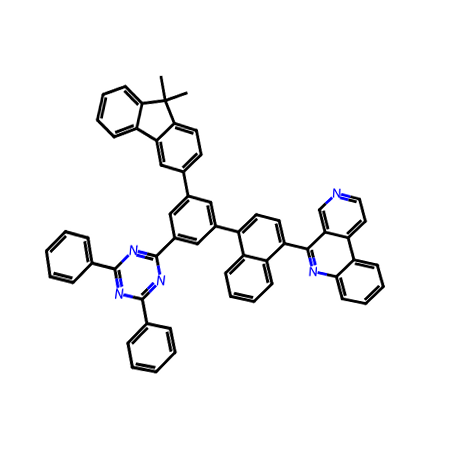 CC1(C)c2ccccc2-c2cc(-c3cc(-c4nc(-c5ccccc5)nc(-c5ccccc5)n4)cc(-c4ccc(-c5nc6ccccc6c6ccncc56)c5ccccc45)c3)ccc21